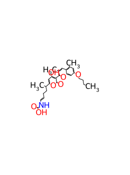 CCCCOc1ccc(C=C(C)C(=O)c2c(O)cc(C(C)CCC=CNC(=O)O)oc2=O)c(C)c1